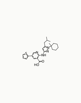 CC(C)Cc1cc(Nc2ncc(-c3cccs3)cc2C(=O)O)nn1C1(C)CCCCC1